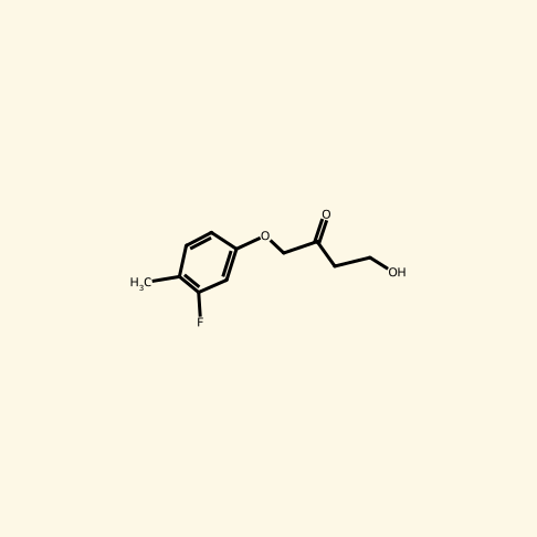 Cc1ccc(OCC(=O)CCO)cc1F